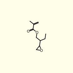 C=C(C)C(=O)OCC(CC)C1CO1